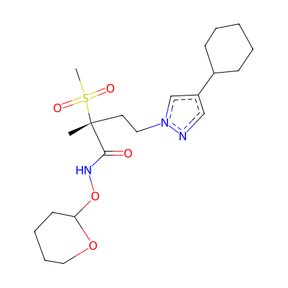 C[C@@](CCn1cc(C2CCCCC2)cn1)(C(=O)NOC1CCCCO1)S(C)(=O)=O